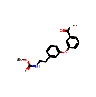 COC(=O)c1cccc(Oc2cccc(CCNC(=O)OC(C)(C)C)c2)c1